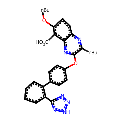 CCCCOc1ccc2nc(CCCC)c(Oc3ccc(-c4ccccc4-c4nn[nH]n4)cc3)nc2c1C(=O)O